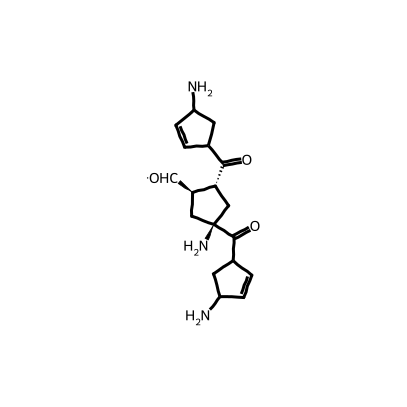 NC1C=CC(C(=O)[C@@H]2C[C@](N)(C(=O)C3C=CC(N)C3)C[C@H]2[C]=O)C1